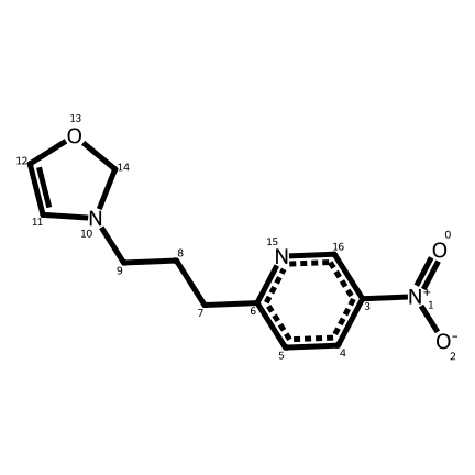 O=[N+]([O-])c1ccc(CCCN2C=COC2)nc1